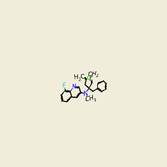 C=C=CC(CC(=C)Cl)(Cc1ccccc1)N(C)c1cnc2c(F)cccc2c1